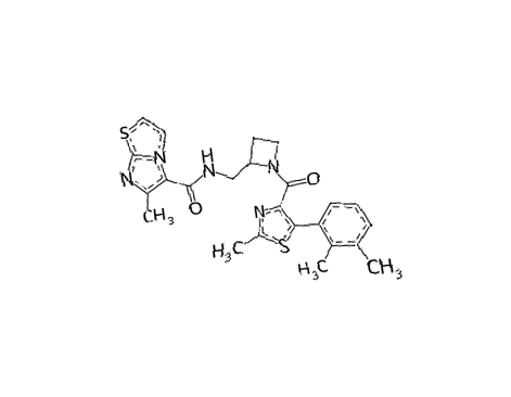 Cc1nc(C(=O)N2CCC2CNC(=O)c2c(C)nc3sccn23)c(-c2cccc(C)c2C)s1